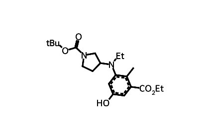 CCOC(=O)c1cc(O)cc(N(CC)C2CCN(C(=O)OC(C)(C)C)C2)c1C